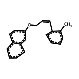 Cc1ccccc1/C=C\COc1ccc2ccccc2c1